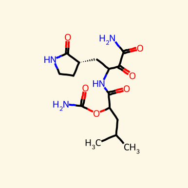 CC(C)CC(OC(N)=O)C(=O)NC(C[C@@H]1CCNC1=O)C(=O)C(N)=O